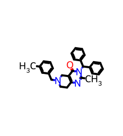 Cc1cccc(CN2CCc3nc(C)n(C(c4ccccc4)c4ccccc4)c(=O)c3C2)c1